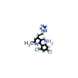 Cc1cc(CCn2cncn2)c(CN)c(-c2ccc(Cl)cc2Cl)n1